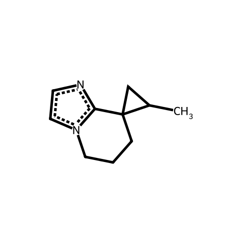 CC1CC12CCCn1ccnc12